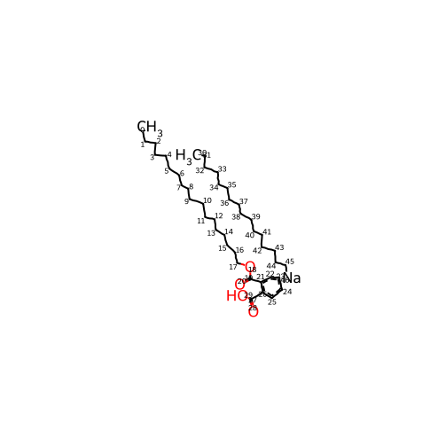 CCCCCCCCCCCCCCCCCCOC(=O)c1ccccc1C(=O)O.CCCCCCCCCCCCCCC[CH2][Na]